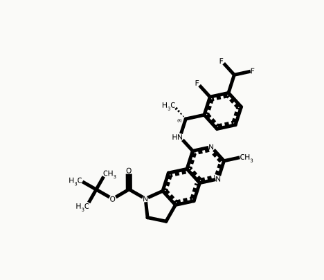 Cc1nc(N[C@H](C)c2cccc(C(F)F)c2F)c2cc3c(cc2n1)CCN3C(=O)OC(C)(C)C